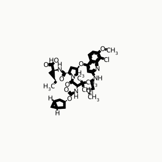 CC[C@@H]1C[C@]1(NC(=O)[C@@H]1C[C@@H](Oc2cc(NCCOC)nc3c(Cl)c(OC)ccc23)CN1C(=O)[C@@H](NC(=O)O[C@@H]1C[C@@H]2C[C@@H]2C1)C(C)(C)C)C(=O)O